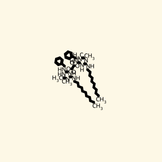 CCCCCCCCCCCNC1=NC(C)(C)NC(NCc2ccccc2)(OC(=O)C(=O)OC2(NCc3ccccc3)NC(NCCCCCCCCCCC)=NC(C)(C)N2)N1